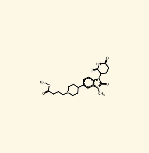 Cn1c(=O)n(C2CCC(=O)NC2=O)c2ccc(C3CCN(CCCC(=O)OC(C)(C)C)CC3)cc21